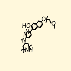 CN(c1ccc(-c2cc3ccc(OC(C)(C)CCOI)cc3cc2O)nn1)C1CC(C)(C)NC(C)(C)C1